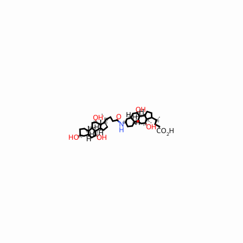 C[C@H](CCC(=O)O)C1CC[C@H]2[C@@H]3[C@H](O)C[C@@H]4C[C@@H](NC(=O)CC[C@@H](C)[C@H]5CC[C@H]6[C@@H]7[C@H](O)C[C@@H]8C[C@H](O)CC[C@]8(C)[C@H]7C[C@H](O)[C@]56C)CC[C@]4(C)[C@H]3C[C@H](O)[C@]12C